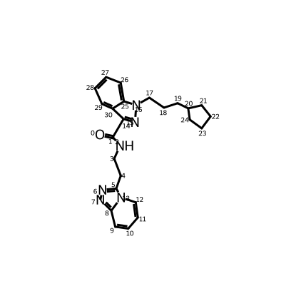 O=C(NCCc1nnc2ccccn12)c1nn(CCCC2CCCC2)c2ccccc12